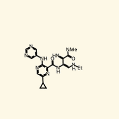 CCN/C=C(/NC(=O)c1nc(C2CC2)cnc1Nc1cncnc1)C(=N)C(=O)NC